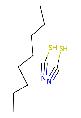 CCCCCCCC.N#CS.N#CS